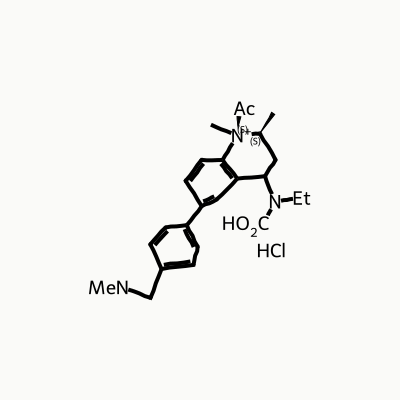 CCN(C(=O)O)C1C[C@H](C)[N@+](C)(C(C)=O)c2ccc(-c3ccc(CNC)cc3)cc21.Cl